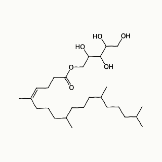 CC(=CCCC(=O)OCC(O)C(O)C(O)CO)CCCC(C)CCCC(C)CCCC(C)C